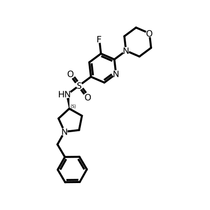 O=S(=O)(N[C@H]1CCN(Cc2ccccc2)C1)c1cnc(N2CCOCC2)c(F)c1